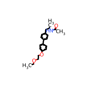 CCOCCOc1ccc(-c2ccc(CC(C)NC(C)=O)cc2)cc1